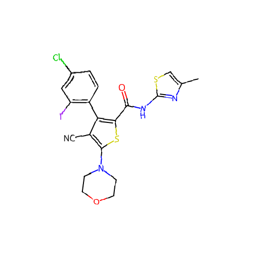 Cc1csc(NC(=O)c2sc(N3CCOCC3)c(C#N)c2-c2ccc(Cl)cc2I)n1